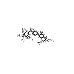 Cc1cc(C2CC2)c2cc(-c3ccc(N(C)C4CC(C)(C)NC(C)(C)C4)nn3)c(O)cc2n1